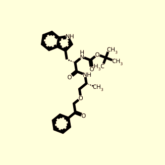 C[C@H](COCC(=O)c1ccccc1)NC(=O)[C@H](Cc1c[nH]c2ccccc12)NC(=O)OC(C)(C)C